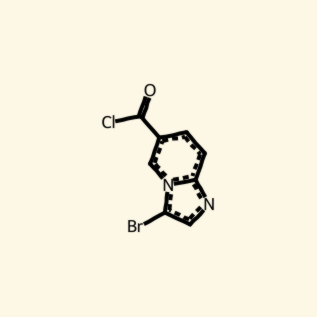 O=C(Cl)c1ccc2ncc(Br)n2c1